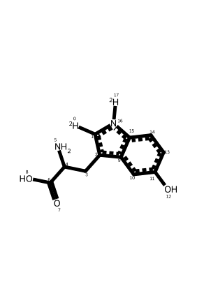 [2H]c1c(CC(N)C(=O)O)c2cc(O)ccc2n1[2H]